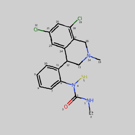 CCNC(=O)N(S)c1ccccc1C1CN(C)Cc2c(Cl)cc(Cl)cc21